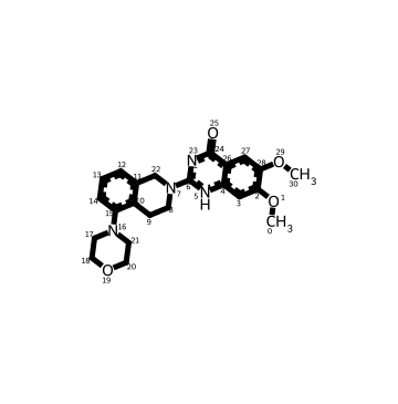 COc1cc2[nH]c(N3CCc4c(cccc4N4CCOCC4)C3)nc(=O)c2cc1OC